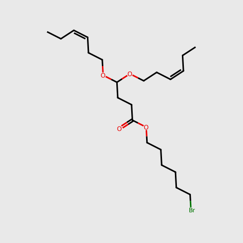 CC/C=C\CCOC(CCC(=O)OCCCCCCBr)OCC/C=C\CC